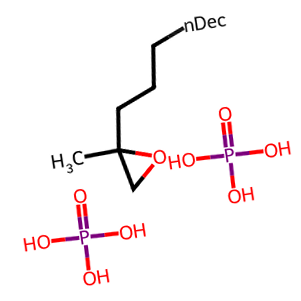 CCCCCCCCCCCCCC1(C)CO1.O=P(O)(O)O.O=P(O)(O)O